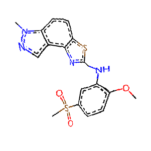 COc1ccc(S(C)(=O)=O)cc1Nc1nc2c(ccc3c2cnn3C)s1